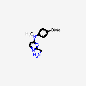 COc1ccc(N(C)c2ccnc(CN)n2)cc1